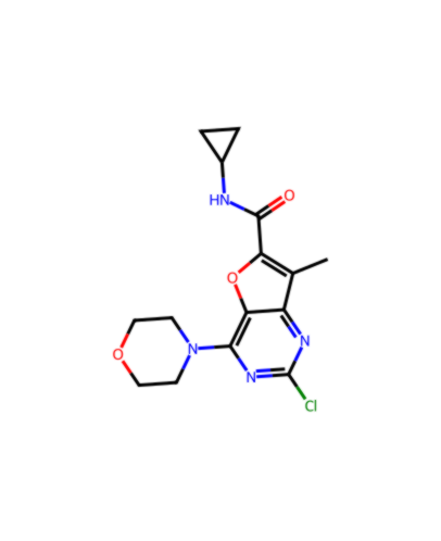 Cc1c(C(=O)NC2CC2)oc2c(N3CCOCC3)nc(Cl)nc12